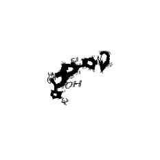 COc1cccc(-c2c(O)c3cc(-c4ccc(N5CCCC5)cc4)c(Cl)cc3[nH]c2=O)c1